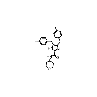 Cc1ccc(Cc2nc(C(=O)NN3CCOCC3)[nH]c2Cc2ccc(C)cc2)cc1